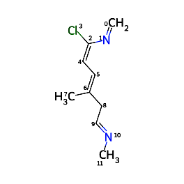 C=N/C(Cl)=C\C=C(/C)C/C=N/C